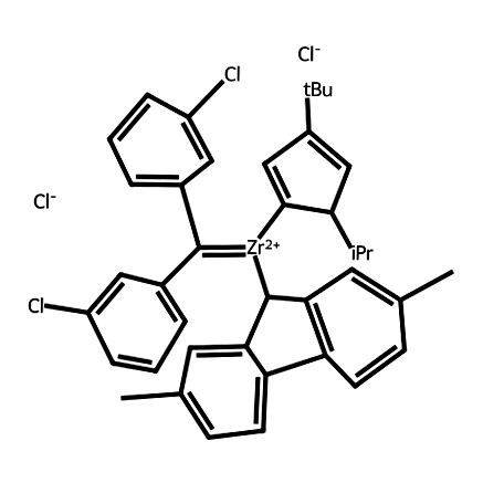 Cc1ccc2c(c1)[CH]([Zr+2]([C]1=CC(C(C)(C)C)=CC1C(C)C)=[C](c1cccc(Cl)c1)c1cccc(Cl)c1)c1cc(C)ccc1-2.[Cl-].[Cl-]